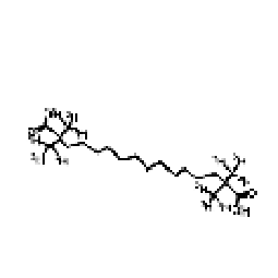 [2H]C([2H])([2H])C(CCCCCCCCCCCCC(C(=O)O)(C([2H])([2H])[2H])C([2H])([2H])[2H])(C(=O)O)C([2H])([2H])[2H]